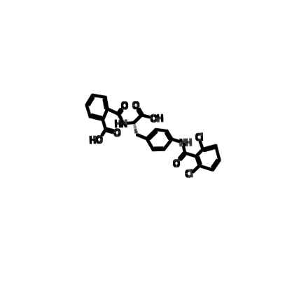 O=C(O)c1ccccc1C(=O)N[C@@H](Cc1ccc(NC(=O)c2c(Cl)cccc2Cl)cc1)C(=O)O